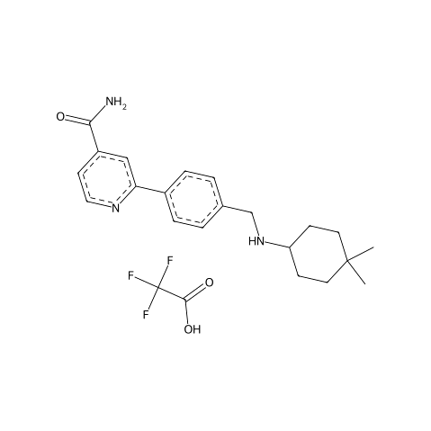 CC1(C)CCC(NCc2ccc(-c3cc(C(N)=O)ccn3)cc2)CC1.O=C(O)C(F)(F)F